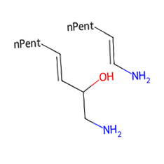 CCCCC/C=C/C(O)CN.CCCCC/C=C/N